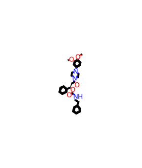 COc1ccc(N2CCN(C(=O)C[C@@H](OC(=O)NCCc3ccccc3)c3ccccc3)CC2)cc1OC